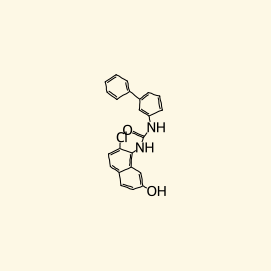 O=C(Nc1cccc(-c2ccccc2)c1)Nc1c(Cl)ccc2ccc(O)cc12